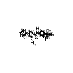 C[C@@H]1CN(c2nccnc2Cl)CCN1C(=O)Nc1ccc(C(F)(C(F)(F)F)C(F)(F)F)cc1